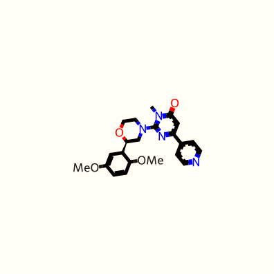 COC1=CC([C@@H]2CN(c3nc(-c4ccncc4)cc(=O)n3C)CCO2)C(OC)C=C1